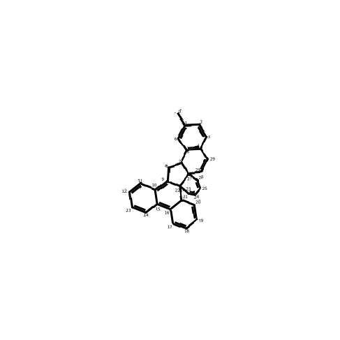 [CH2]c1ccc2c(c1)C1CC3=c4ccccc4=C4C=CC=CC4C34C=CC=CC14C=C2